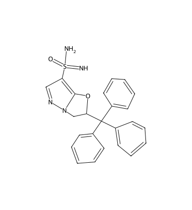 N=S(N)(=O)c1cnn2c1OC(C(c1ccccc1)(c1ccccc1)c1ccccc1)C2